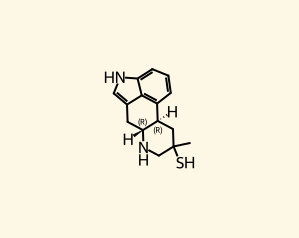 CC1(S)CN[C@@H]2Cc3c[nH]c4cccc(c34)[C@H]2C1